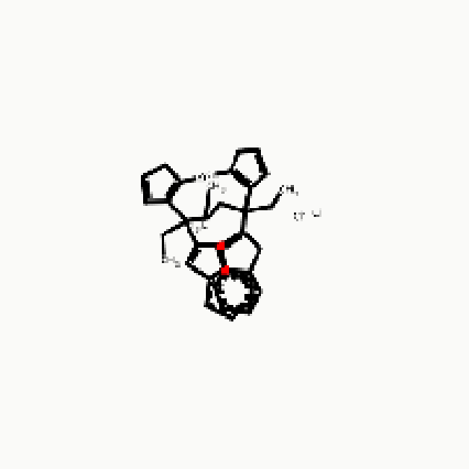 CCC(CC)(C1=Cc2ccccc2C1)C1=[C]([Zr+2][C]2=C(C(CC)(CC)C3=Cc4ccccc4C3)C=CC2)CC=C1.[Cl-].[Cl-]